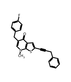 Cn1cc(Cc2ccc(F)cc2)c(=O)c2cc(C#CCc3ccccc3)sc21